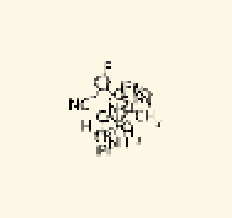 Cc1c(-n2nccn2)sc2c1c(=O)n(C(C)(C)C(=O)NC(C)C)c(=O)n2CC(OC(C)C)c1cc(F)ccc1CCC#N